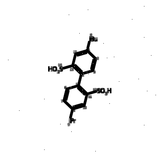 CCC(C)c1ccc(-c2ccc(C(C)C)cc2S(=O)(=O)O)c(S(=O)(=O)O)c1